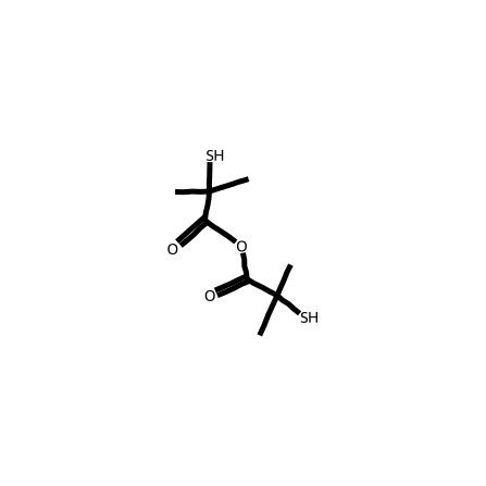 CC(C)(S)C(=O)OC(=O)C(C)(C)S